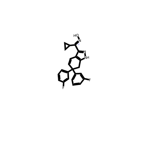 O/N=C(/c1n[nH]c2c1C=CC(c1cccc(F)c1)(c1cccc(F)c1)C2)C1CC1